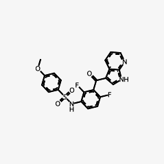 COc1ccc(S(=O)(=O)Nc2ccc(F)c(C(=O)c3c[nH]c4ncccc34)c2F)cc1